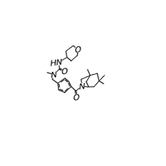 CN(Cc1ccc(C(=O)N2CC3(C)CC2CC(C)(C)C3)cc1)C(=O)NC1CCOCC1